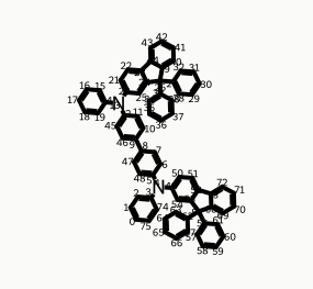 c1ccc(N(c2ccc(-c3ccc(N(c4ccccc4)c4ccc5c(c4)C(c4ccccc4)(c4ccccc4)c4ccccc4-5)cc3)cc2)c2ccc3c(c2)C(c2ccccc2)(c2ccccc2)c2ccccc2-3)cc1